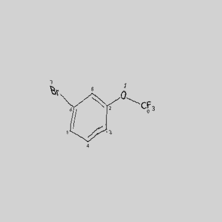 FC(F)(F)Oc1[c]ccc(Br)c1